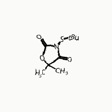 CC(C)(C)SN1C(=O)OC(C)(C)C1=O